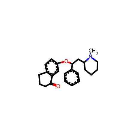 CN1CCCCC1CC(Oc1ccc2c(c1)C(=O)CCC2)c1ccccc1